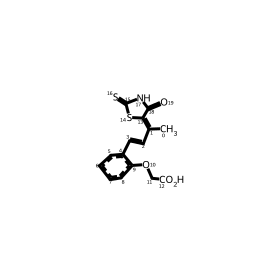 CC(C=Cc1ccccc1OCC(=O)O)=C1SC(=S)NC1=O